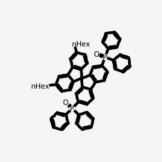 CCCCCCc1ccc2c(c1)-c1cc(CCCCCC)ccc1C21c2cc(P(=O)(c3ccccc3)c3ccccc3)ccc2-c2ccc(P(=O)(c3ccccc3)c3ccccc3)cc21